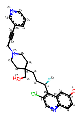 COc1ccc2ncc(Cl)c([C@H](F)CCC3(CO)CCN(CC#Cc4cccnc4)CC3)c2c1